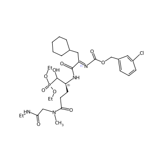 CCNC(=O)CN(C)C(=O)CC[C@H](NC(=O)/C(CC1CCCCC1)=N/C(=O)OCc1cccc(Cl)c1)C(O)P(=O)(OCC)OCC